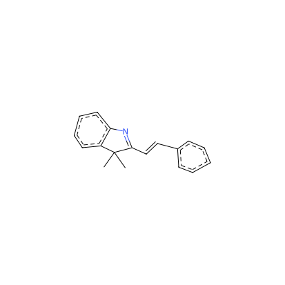 CC1(C)C(C=Cc2ccccc2)=Nc2ccccc21